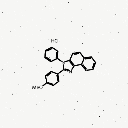 COc1ccc(-c2nc3c4ccccc4ccc3n2-c2ccccc2)cc1.Cl